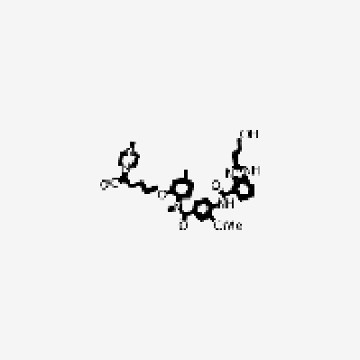 COc1cc(C(=O)N(C)c2ccc(C)cc2OCCCCC(=C=O)N2CCN(C)CC2)ccc1NC(=O)c1cccc2[nH]c(CCCO)nc12